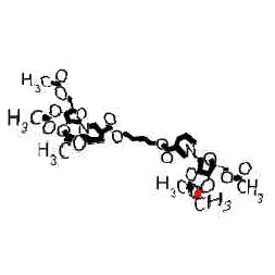 CC(=O)OC[C@H]1O[C@@H](N2C=CCC(C(=O)OCCCCOC(=O)C3=CN([C@@H]4O[C@H](COC(C)=O)[C@@H](OC(C)=O)[C@H]4OC(C)=O)C=CC3)=C2)[C@H](OC(C)=O)[C@@H]1OC(C)=O